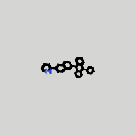 c1ccc(-c2c3ccccc3c(-c3ccc4cc(-c5ccccn5)ccc4c3)c3ccccc23)cc1